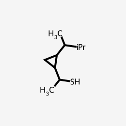 CC(C)C(C)C1CC1C(C)S